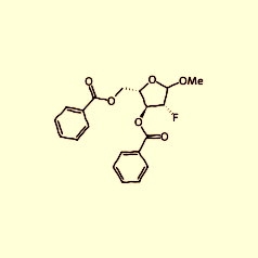 COC1O[C@@H](COC(=O)c2ccccc2)[C@H](OC(=O)c2ccccc2)[C@H]1F